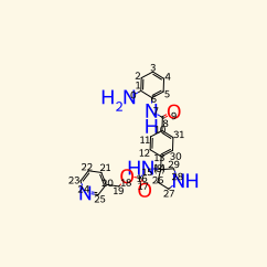 Nc1ccccc1NC(=O)c1ccc([C@@]2(NC(=O)OCc3cccnc3)CCNC2)cc1